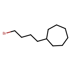 BrCCCCC1CCCCCC1